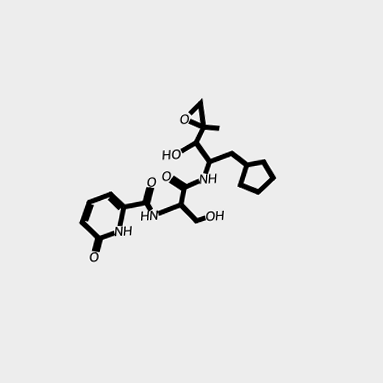 CC1(C(O)C(CC2CCCC2)NC(=O)C(CO)NC(=O)c2cccc(=O)[nH]2)CO1